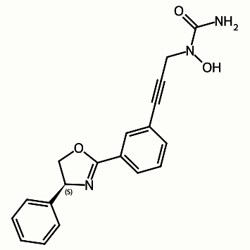 NC(=O)N(O)CC#Cc1cccc(C2=N[C@@H](c3ccccc3)CO2)c1